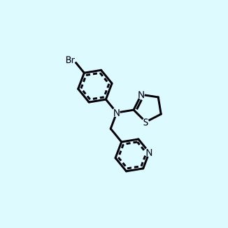 Brc1ccc(N(Cc2cccnc2)C2=NCCS2)cc1